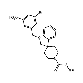 CC(C)(C)OC(=O)N1CCC(COCc2cc(Br)cc(C(=O)O)c2)(c2ccccc2)CC1